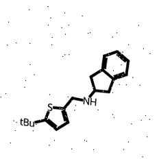 CC(C)(C)c1ccc(CNC2Cc3ccccc3C2)s1